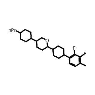 CCCC1CCC(C2CCC(C3CCC(c4ccc(C)c(F)c4F)CC3)OC2)CC1